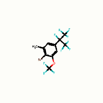 Cc1cc(C(F)(C(F)(F)F)C(F)(F)F)cc(OC(F)(F)F)c1Br